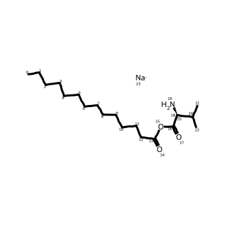 CCCCCCCCCCCCCC(=O)OC(=O)[C@@H](N)C(C)C.[Na]